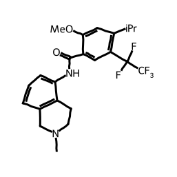 COc1cc(C(C)C)c(C(F)(F)C(F)(F)F)cc1C(=O)Nc1cccc2c1CCN(C)C2